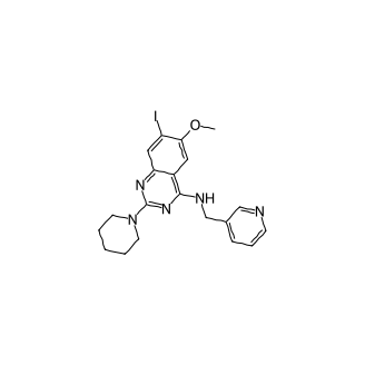 COc1cc2c(NCc3cccnc3)nc(N3CCCCC3)nc2cc1I